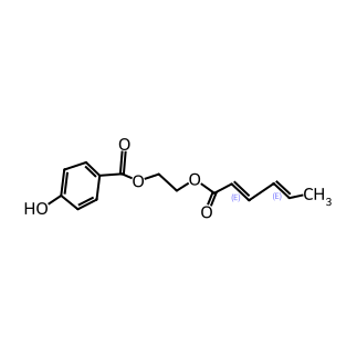 C/C=C/C=C/C(=O)OCCOC(=O)c1ccc(O)cc1